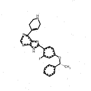 C[C@@H](Oc1ccc(-c2nc3c(C4=CCNCC4)ncnc3[nH]2)c(F)c1)c1ccccc1